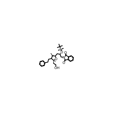 C[C@H]1C(CC(CN2C(=O)c3ccccc3C2=O)O[Si](C)(C)C(C)(C)C)O[C@@H](CCO)C1CCc1ccccc1